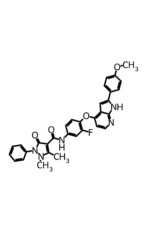 COc1ccc(-c2cc3c(Oc4ccc(NC(=O)c5c(C)n(C)n(-c6ccccc6)c5=O)cc4F)ccnc3[nH]2)cc1